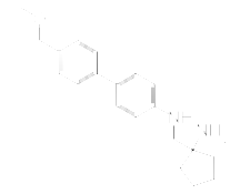 COCc1ccc(-c2ccc(NCC3(N)CCCC3)cc2)cc1